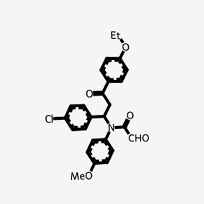 CCOc1ccc(C(=O)CC(c2ccc(Cl)cc2)N(C(=O)C=O)c2ccc(OC)cc2)cc1